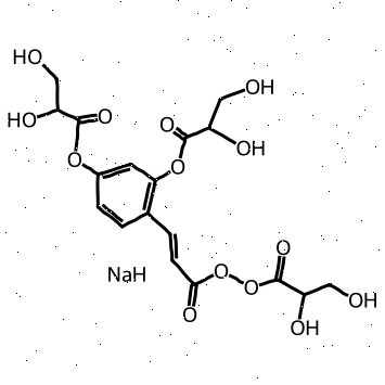 O=C(C=Cc1ccc(OC(=O)C(O)CO)cc1OC(=O)C(O)CO)OOC(=O)C(O)CO.[NaH]